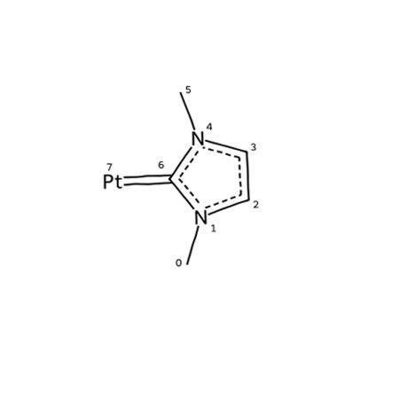 Cn1ccn(C)[c]1=[Pt]